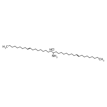 CCCCCCCCC=CCCCCCCCCC(N)CCCCCCCCC=CCCCCCCCC.Cl